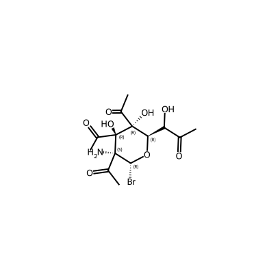 CC(=O)C(O)[C@H]1O[C@H](Br)[C@@](N)(C(C)=O)[C@](O)(C(C)=O)[C@@]1(O)C(C)=O